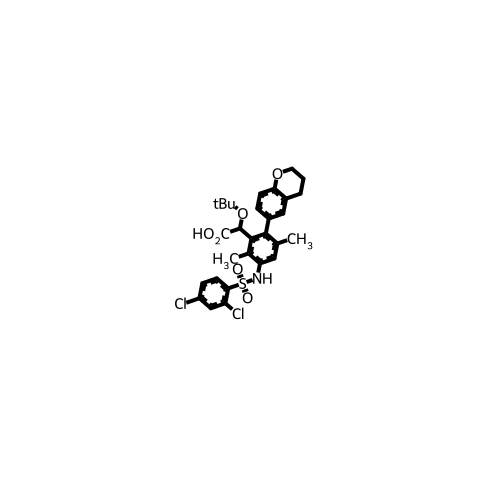 Cc1cc(NS(=O)(=O)c2ccc(Cl)cc2Cl)c(C)c(C(OC(C)(C)C)C(=O)O)c1-c1ccc2c(c1)CCCO2